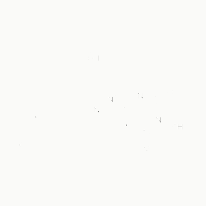 Cn1c(=O)cc(N(CCO)N=Cc2ccc(Cl)cc2)[nH]c1=O